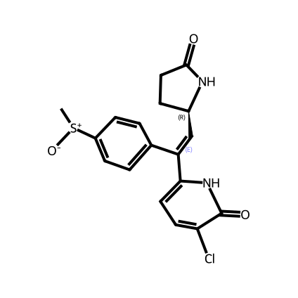 C[S+]([O-])c1ccc(/C(=C\[C@H]2CCC(=O)N2)c2ccc(Cl)c(=O)[nH]2)cc1